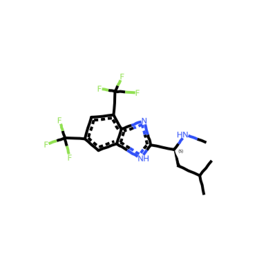 CN[C@@H](CC(C)C)c1nc2c(C(F)(F)F)cc(C(F)(F)F)cc2[nH]1